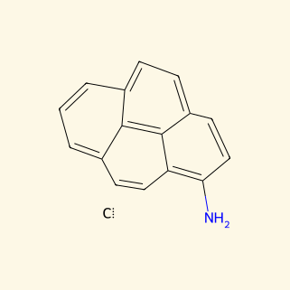 Nc1ccc2ccc3cccc4ccc1c2c34.[C]